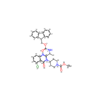 CC(NC(=O)OCC1c2ccccc2-c2ccccc21)c1nc2cccc(Cl)c2c(=O)n1C1CCN(C(=O)OC(C)(C)C)CC1